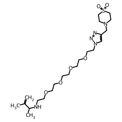 C=C(C)C(C)NCCOCCOCCOCCOCCn1cc(CN2CCS(=O)(=O)CC2)nn1